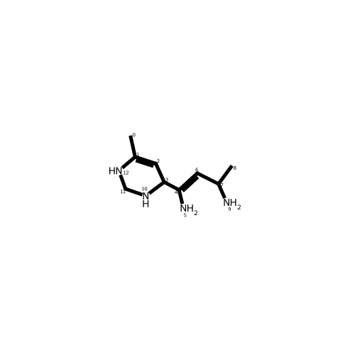 CC1=CC(/C(N)=C/C(C)N)NCN1